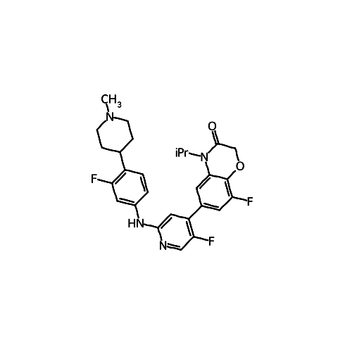 CC(C)N1C(=O)COc2c(F)cc(-c3cc(Nc4ccc(C5CCN(C)CC5)c(F)c4)ncc3F)cc21